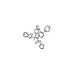 CC(c1cc2ccccc2o1)(C1C2CNCC21)N(C(=O)Oc1cccs1)c1ccc(N2CCOCC2)c(F)c1